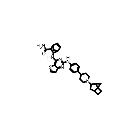 NC(=O)C1C2C=CC(C2)C1Nc1nc(Nc2ccc(C3CCN(C4CC5CCC56CC46)CC3)cc2)nc2ccsc12